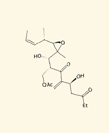 C=C(C(=O)[C@H](COC(C)=O)[C@H](O)C1(C)O[C@@H]1[C@@H](C)/C=C\C)[C@@H](O)CC(=O)CC